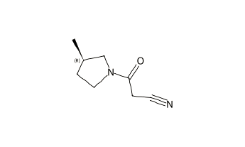 C[C@@H]1CCN(C(=O)CC#N)C1